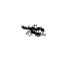 C[C@@H](NC(=O)[C@@H]1C[C@](F)(COCCN=[N+]=[N-])CN1C(=O)CNC(=O)c1ccc(Oc2ccc(F)cc2)cc1)c1cc(C(=N)NC(=O)OC(C)(C)C)cs1